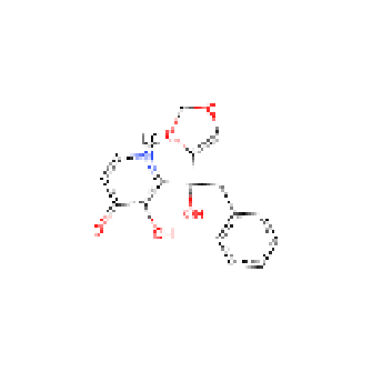 Cn1ccc(=O)c(O)c1C(O)(Cc1ccccc1)C1=COCO1